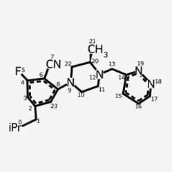 CC(C)Cc1cc(F)c(C#N)c(N2CCN(Cc3cccnn3)[C@H](C)C2)c1